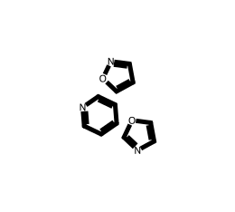 c1ccncc1.c1cnoc1.c1cocn1